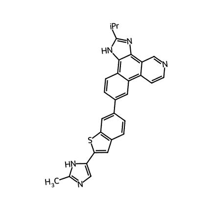 Cc1ncc(-c2cc3ccc(-c4ccc5c(c4)c4ccncc4c4nc(C(C)C)[nH]c54)cc3s2)[nH]1